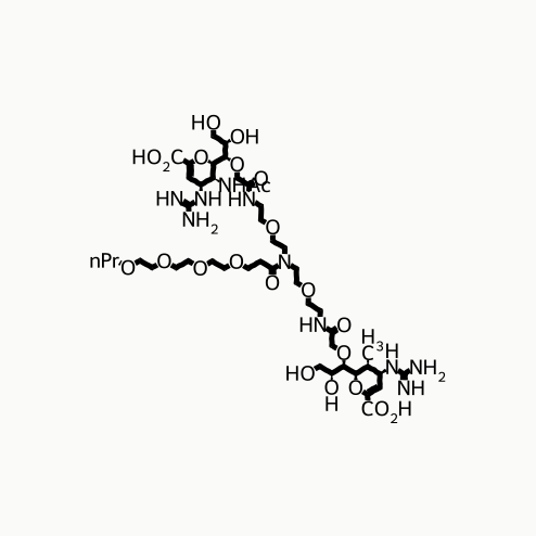 CCCOCCOCCOCCOCCC(=O)N(CCOCCNC(=O)CO[C@@H]([C@@H]1OC(C(=O)O)=C[C@H](NC(=N)N)[C@H]1C)[C@H](O)CO)CCOCCNC(=O)CO[C@@H]([C@@H]1OC(C(=O)O)=C[C@H](NC(=N)N)[C@H]1NC(C)=O)[C@H](O)CO